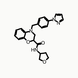 O=C(NC1CCOC1)C1CN(Cc2ccc(-n3cccn3)cc2)c2ccccc2O1